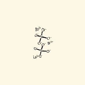 [B+3].[Ba+2].[La+3].[O-][Si]([O-])([O-])[O-].[O-][Si]([O-])([O-])[O-]